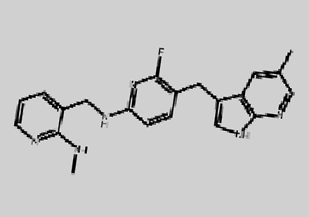 CNc1ncccc1CNc1ccc(Cc2c[nH]c3ncc(C)cc23)c(F)n1